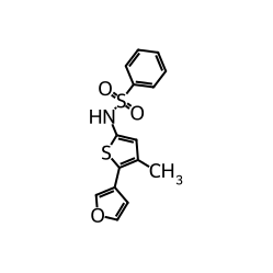 Cc1cc(NS(=O)(=O)c2ccccc2)sc1-c1ccoc1